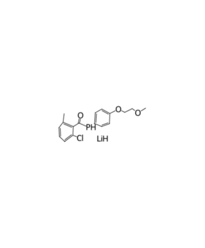 COCCOc1ccc(PC(=O)c2c(C)cccc2Cl)cc1.[LiH]